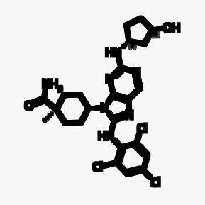 C[C@]1(C(N)=O)CC[C@@H](n2c(Nc3c(Cl)cc(Cl)cc3Cl)nc3cnc(N[C@@H]4CC[C@@H](O)C4)nc32)CC1